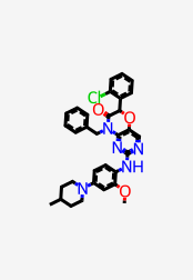 COc1cc(N2CCC(C)CC2)ccc1Nc1ncc2c(n1)N(Cc1ccccc1)C(=O)C(c1ccccc1Cl)O2